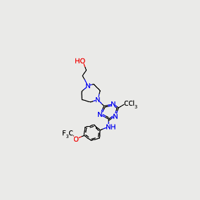 OCCN1CCCN(c2nc(Nc3ccc(OC(F)(F)F)cc3)nc(C(Cl)(Cl)Cl)n2)CC1